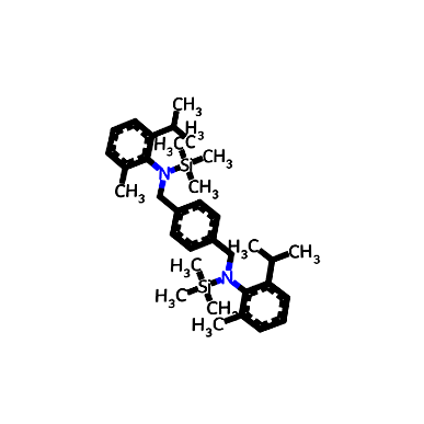 Cc1cccc(C(C)C)c1N(Cc1ccc(CN(c2c(C)cccc2C(C)C)[Si](C)(C)C)cc1)[Si](C)(C)C